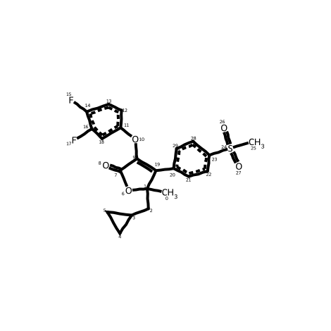 CC1(CC2CC2)OC(=O)C(Oc2ccc(F)c(F)c2)=C1c1ccc(S(C)(=O)=O)cc1